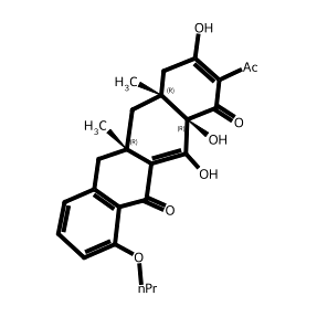 CCCOc1cccc2c1C(=O)C1=C(O)[C@@]3(O)C(=O)C(C(C)=O)=C(O)C[C@@]3(C)C[C@@]1(C)C2